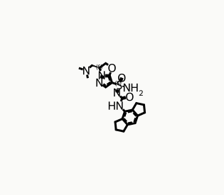 CN(C)C[C@H]1COc2c([S@@](N)(=O)=NC(=O)Nc3c4c(cc5c3CCC5)CCC4)cnn21